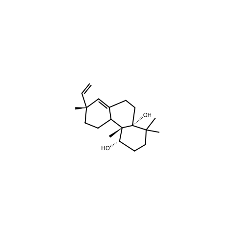 C=C[C@]1(C)C=C2CC[C@@]3(O)C(C)(C)CC[C@H](O)[C@]3(C)C2CC1